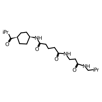 CC(C)CNC(=O)CCNC(=O)CCCC(=O)N[C@H]1CC[C@@H](C(=O)C(C)C)CC1